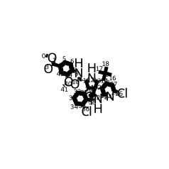 COC(=O)c1ccc(NC(=O)[C@@H]2N[C@@H](CC(C)(C)C)[C@@]3(C(=O)Nc4nc(Cl)ccc43)[C@H]2c2cccc(Cl)c2F)c(OC)c1